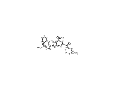 COc1cc(C(=O)N2CCC[C@@H](N)C2)cc2nc(-c3ccc(C(N)=O)n3Cc3ccccc3)n(C)c12